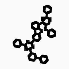 c1ccc(Sc2cnc(-c3ccccc3)nc2-c2cccc3c2sc2ccc(-c4nc(-c5ccccc5)nc(-c5cccc(-c6ccccc6)c5)n4)cc23)cc1